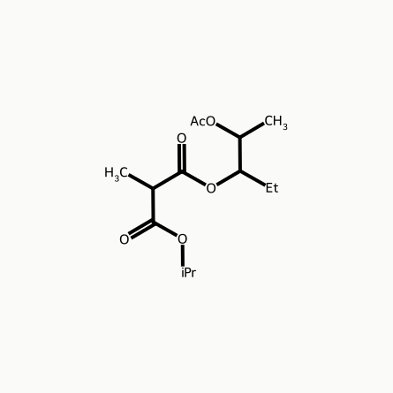 CCC(OC(=O)C(C)C(=O)OC(C)C)C(C)OC(C)=O